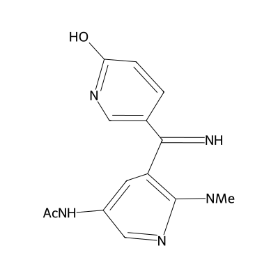 CNc1ncc(NC(C)=O)cc1C(=N)c1ccc(O)nc1